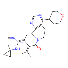 C=N/C(NC1(C)CC1)=C(\C)C(C(=O)N1CCc2c(ncnc2C2CCOCC2)C1)=C(C)C